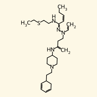 C=CN(CCC(=C)NC1CCN(CCC2C=CC=CC2)CC1)/N=C(\C=C/CC)NCCSCC